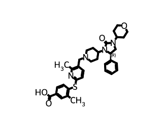 Cc1cc(C(=O)O)ccc1Sc1ccc(CN2CCC(N3C(=O)N(C4CCOCC4)C[C@H]3c3ccccc3)CC2)c(C)n1